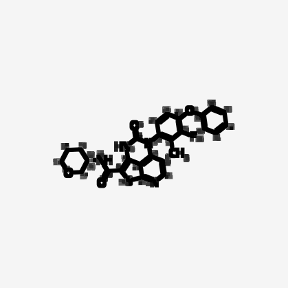 Cc1c(N2C(=O)Nc3c(C(=O)N[C@H]4CCCOC4)sc4nccc2c34)ccc(Oc2ccccc2)c1F